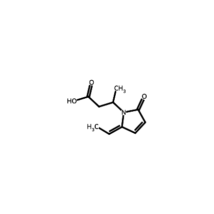 CC=C1C=CC(=O)N1C(C)CC(=O)O